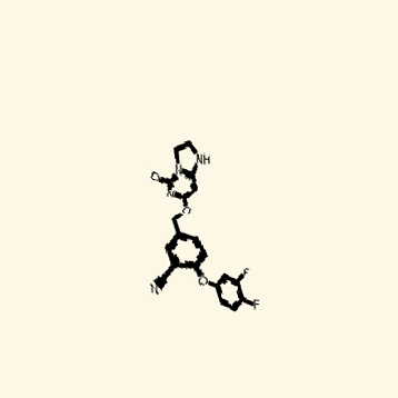 N#Cc1cc(COc2cc3n(c(=O)n2)CCN3)ccc1Oc1ccc(F)c(F)c1